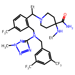 CCNC1(C(N)=O)CCN(C(CC)c2ccc(C(F)(F)F)cc2CN(Cc2cc(C(F)(F)F)cc(C(F)(F)F)c2)c2nnn(C)n2)CC1